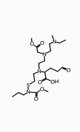 CCCN(SCCN(CCN(CCN(C)CC)CC(=O)OC)C(CCC=O)C(=O)O)C(=O)OC